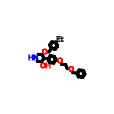 CCc1ccc(COC2CNCC(O)C2c2ccc(OCCCOCc3ccccc3)cc2)cc1